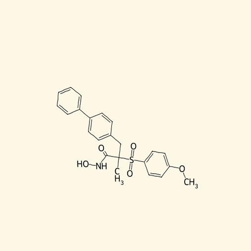 COc1ccc(S(=O)(=O)C(C)(Cc2ccc(-c3ccccc3)cc2)C(=O)NO)cc1